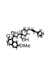 COc1ccc2ncc(Cl)c([C@H](O)CCC3(CO)CCN(CC#Cc4cncs4)CC3)c2c1